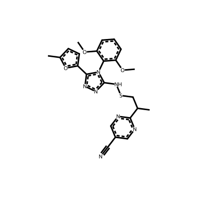 COc1cccc(OC)c1-n1c(NSCC(C)c2ncc(C#N)cn2)nnc1-c1ccc(C)o1